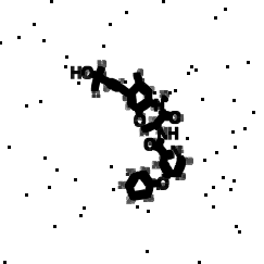 Cc1cc2c(cc1C#CC(C)(C)O)OCC(NC(=O)c1cc(Oc3ccccc3)ccn1)C(=O)N2C